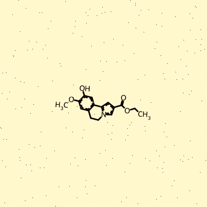 CCOC(=O)c1cc2n(c1)CCc1cc(OC)c(O)cc1-2